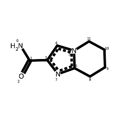 NC(=O)c1cn2c(n1)CCCC2